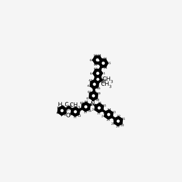 CC1(C)c2ccccc2Oc2ccc(-c3ccc(N(c4ccc(-c5ccc(-c6ccccc6)cc5)cc4)c4ccc(-c5ccc6c(c5)C(C)(C)c5cc(-c7cccc8ccccc78)ccc5-6)cc4)cc3)cc21